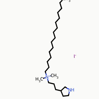 CCCCCCCCCCCCCCCC[N+](C)(C)CCCC1CCNC1.[I-]